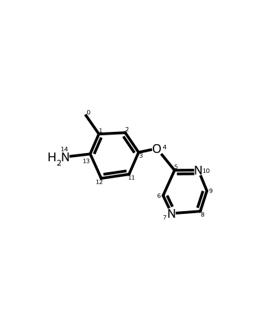 Cc1cc(Oc2cnccn2)ccc1N